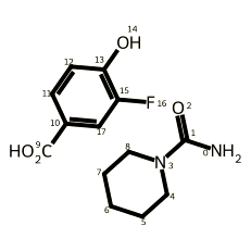 NC(=O)N1CCCCC1.O=C(O)c1ccc(O)c(F)c1